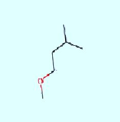 CO[CH]CC(C)C